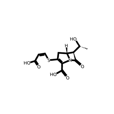 C[C@@H](O)[C@H]1C(=O)N2C(C(=O)O)=C(S/C=C\C(=O)O)C[C@H]12